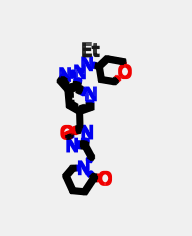 CCN(C1CCOCC1)n1ncc2cc(-c3nc(CN4CCCCC4=O)no3)cnc21